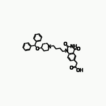 O=C(O)Cc1ccc2c(c1)c(=O)[nH]c(=O)n2CCCCN1CCC(OC(c2ccccc2)c2ccccc2)CC1